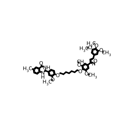 COc1cc(C2NC(=O)c3cc(C)ccc3N2)ccc1OCCCCCCCOc1c(OC)cc(-c2cc(-c3cc(OC)c(OC)c(OC)c3)on2)cc1OC